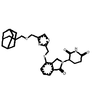 O=C1CCC(N2Cc3c(SCc4nc(COCC56CC7CC(CC(C7)C5)C6)cs4)cccc3C2=O)C(=O)N1